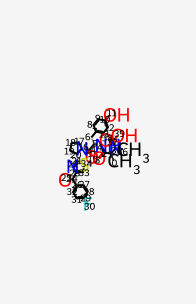 C[C@@H](C(=O)N[C@@H](Cc1ccc(O)cc1)C(=O)N1CCC[C@H]1c1nc(C(=O)c2ccc(F)cc2)cs1)N(C)C(=O)O